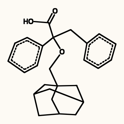 O=C(O)C(Cc1ccccc1)(OCC12CC3CC(CC(C3)C1)C2)c1ccccc1